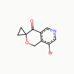 O=C1c2cncc(Br)c2COC12CC2